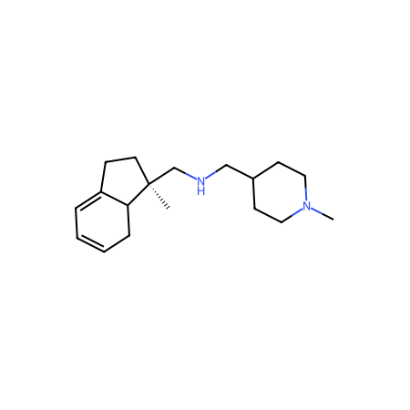 CN1CCC(CNC[C@]2(C)CCC3=CC=CCC32)CC1